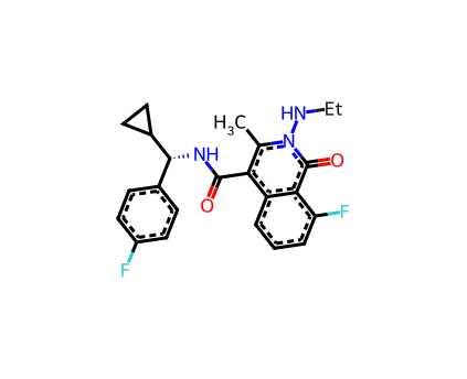 CCNn1c(C)c(C(=O)N[C@H](c2ccc(F)cc2)C2CC2)c2cccc(F)c2c1=O